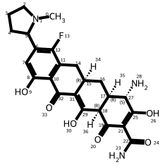 CN1CCCC1c1cc(O)c2c(c1F)C[C@H]1C[C@@H]3[C@@H](C(=O)C(C(N)=O)=C(O)[C@H]3N)C(O)=C1C2=O